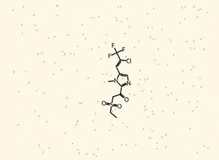 CCS(=O)(=O)CC(=O)c1ncc(/C=C(\Cl)C(F)(F)F)n1C